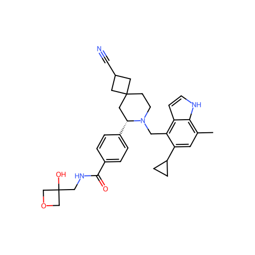 Cc1cc(C2CC2)c(CN2CCC3(CC(C#N)C3)C[C@H]2c2ccc(C(=O)NCC3(O)COC3)cc2)c2cc[nH]c12